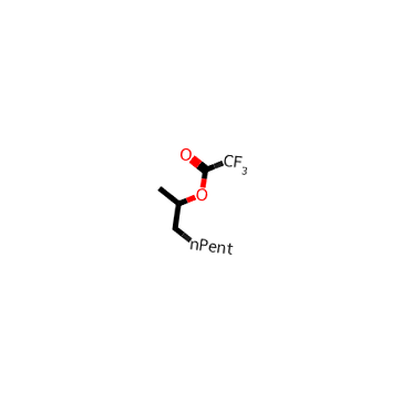 CCCCCCC(C)OC(=O)C(F)(F)F